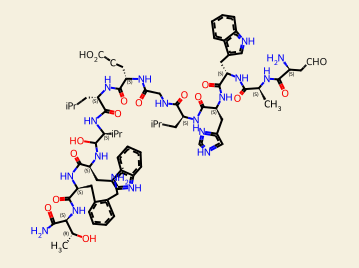 CC(C)C[C@H](NC(=O)[C@H](Cc1c[nH]cn1)NC(=O)[C@H](Cc1c[nH]c2ccccc12)NC(=O)[C@H](C)NC(=O)[C@@H](N)CC=O)C(=O)NCC(=O)N[C@@H](CCC(=O)O)C(=O)N[C@@H](CC(C)C)C(=O)N[C@@H](C(C)C)C(O)N[C@@H](Cc1c[nH]c2ccccc12)C(=O)N[C@@H](Cc1ccccc1CN)C(=O)N[C@H](C(N)=O)[C@@H](C)O